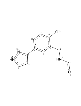 O=CNCc1cc(-c2cc[nH]n2)ccc1Cl